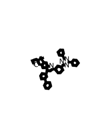 CC1(C)c2ccccc2-c2cc3c(-c4cccc(-c5ccccc5)c4)cc(-c4cccc(-c5nc(-c6ccccc6)nc(-c6ccccc6)n5)c4)nc3cc21